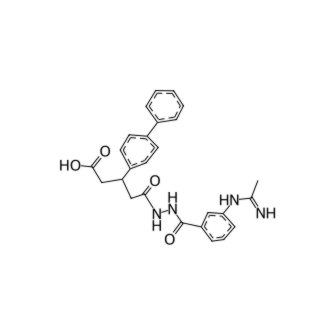 CC(=N)Nc1cccc(C(=O)NNC(=O)CC(CC(=O)O)c2ccc(-c3ccccc3)cc2)c1